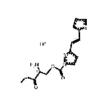 COC(=O)[C@@H](N)COC(=O)n1ccc(/C=C/c2cccs2)n1.Cl